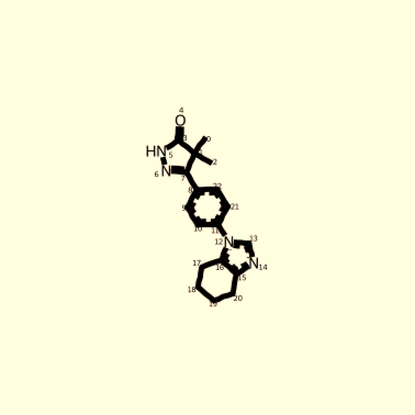 CC1(C)C(=O)NN=C1c1ccc(-n2cnc3c2CCCC3)cc1